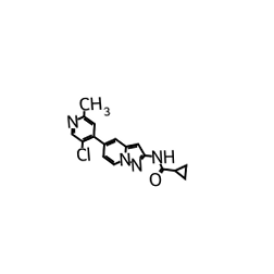 Cc1cc(-c2ccn3nc(NC(=O)C4CC4)cc3c2)c(Cl)cn1